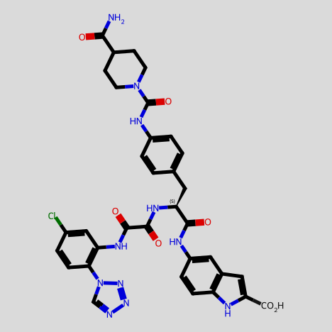 NC(=O)C1CCN(C(=O)Nc2ccc(C[C@H](NC(=O)C(=O)Nc3cc(Cl)ccc3-n3cnnn3)C(=O)Nc3ccc4[nH]c(C(=O)O)cc4c3)cc2)CC1